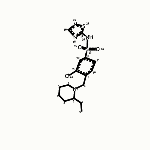 CCC1CCCCN1Cc1ccc(S(=O)(=O)Nc2ncns2)cc1Cl